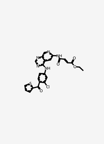 CCOC(=O)C=CC(=O)Nc1cc2c(Nc3ccc(C(=O)c4cccs4)c(Cl)c3)ncnc2cn1